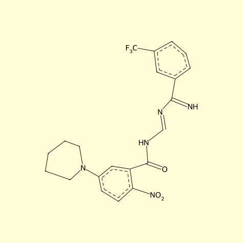 N=C(/N=C/NC(=O)c1cc(N2CCCCC2)ccc1[N+](=O)[O-])c1cccc(C(F)(F)F)c1